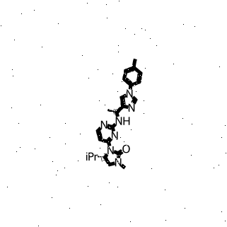 Cc1ccc(-n2cnc([C@H](C)Nc3nccc(N4C(=O)N(C)C[C@@H]4C(C)C)n3)c2)cc1